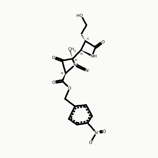 C[C@@]1([C@@H]2NC(=O)[C@H]2CCO)C(=O)[C@H](C(=O)OCc2ccc([N+](=O)[O-])cc2)[N+]1=[N-]